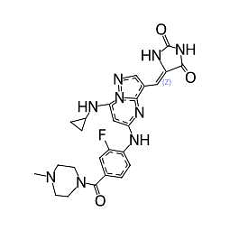 CN1CCN(C(=O)c2ccc(Nc3cc(NC4CC4)n4ncc(/C=C5\NC(=O)NC5=O)c4n3)c(F)c2)CC1